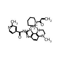 C=CC(=O)N1CCCC[C@@H](n2c(NC(=O)c3ccnc(C)c3)nc3ccc4c(c32)N(C)CCN4C)C1